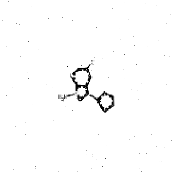 Nn1cc(-c2ccccc2)c2cc(Cl)cnc21